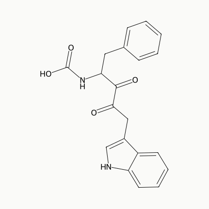 O=C(O)NC(Cc1ccccc1)C(=O)C(=O)Cc1c[nH]c2ccccc12